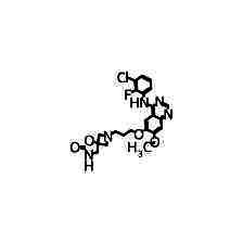 COc1cc2ncnc(Nc3cccc(Cl)c3F)c2cc1OCCCN1CC2(CNC(=O)O2)C1